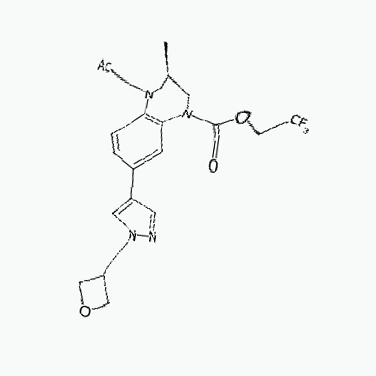 CC(=O)N1c2ccc(-c3cnn(C4COC4)c3)cc2N(C(=O)OCC(F)(F)F)C[C@@H]1C